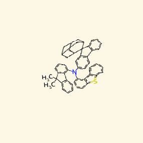 CC1(C)c2ccccc2-c2c(N(c3ccc4c(c3)C3(c5ccccc5-4)C4CC5CC(C4)CC3C5)c3cccc4sc5ccccc5c34)cccc21